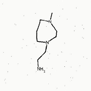 CN1CCCN(CCN)CC1